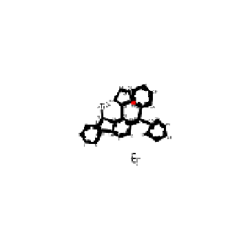 [Cl-].[Cl-].[Ti+2][C]1=c2ccccc2=c2ccc(=C(c3ccccc3)c3ccccc3)c(C3=CC=CC3)c21